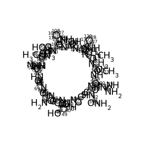 CCCC[C@H]1C(=O)N(C)[C@@H](COCC)C(=O)N[C@@H](CCCNC(=N)N)C(=O)NC(C(=O)NCC(N)=O)CSCC(=O)N[C@@H](Cc2ccc(O)cc2)C(=O)N(C)[C@@H](C)C(=O)N[C@@H](CC(N)=O)C(=O)N2CCC[C@H]2C(=O)N[C@@H](Cc2cnc[nH]2)C(=O)N[C@@H](CC(C)C)C(=O)N2C[C@H](O)CC2(C=O)N[C@@H](Cc2c[nH]c3ccccc23)C(=O)N[C@@H](CO)C(=O)N[C@@H](Cc2c[nH]c3ccccc23)C(=O)N1C